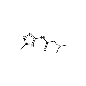 Cc1nc(NC(=O)CN(C)C)no1